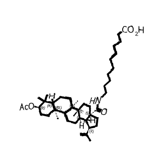 C=C(C)[C@@H]1CC[C@]2(C(=O)NCCCCCCCCCCC(=O)O)CC[C@]3(C)[C@H](CCC4[C@@]5(C)CC[C@@H](OC(C)=O)C(C)(C)[C@@H]5CC[C@]43C)[C@@H]12